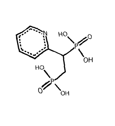 O=P(O)(O)CC(c1ccccn1)P(=O)(O)O